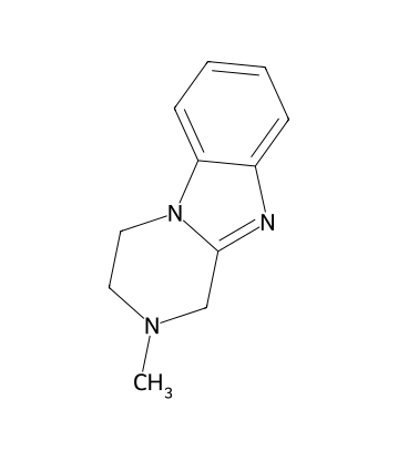 CN1CCn2c(nc3ccccc32)C1